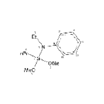 CCC[Si](OC)(OC)N(CC)c1ccccc1